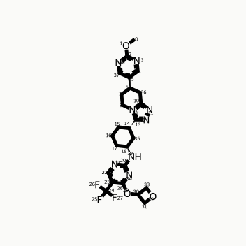 COc1ncc([C@@H]2CCn3c(nnc3[C@H]3CCC[C@@H](Nc4ncc(C(F)(F)F)c(OC5COC5)n4)C3)C2)cn1